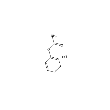 Cl.NC(=O)Oc1ccccc1